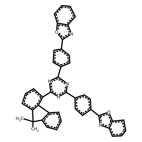 CC1(C)c2ccccc2-c2c(-c3nc(-c4ccc(-c5nc6ccccc6o5)cc4)nc(-c4ccc(-c5nc6ccccc6o5)cc4)n3)cccc21